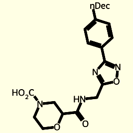 CCCCCCCCCCc1ccc(-c2noc(CNC(=O)C3CN(C(=O)O)CCO3)n2)cc1